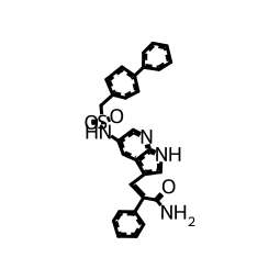 NC(=O)C(=Cc1c[nH]c2ncc(NS(=O)(=O)Cc3ccc(-c4ccccc4)cc3)cc12)c1ccccc1